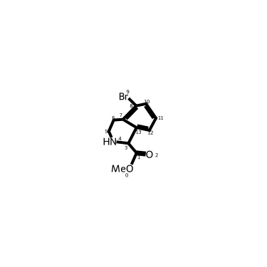 COC(=O)C1NCCc2c(Br)cccc21